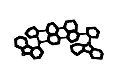 c1ccc(-c2ccc(-c3ccccc3N(c3ccc(-c4ccc(-c5ccccc5-n5c6ccccc6c6ccccc65)cc4)cc3)c3cccc4oc5ccccc5c34)cc2)cc1